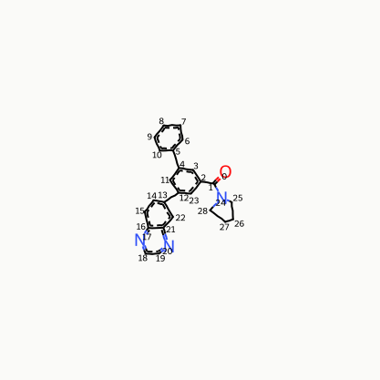 O=C(c1cc(-c2ccccc2)cc(-c2ccc3nccnc3c2)c1)N1CCCC1